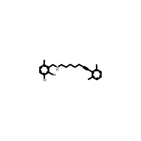 CCc1ccc(C)c(CNCCCCCC#Cc2c(C)cccc2C)c1C(C)C